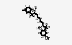 Cc1ccc2c(c1)C(C)(C)\C(=C/C=C/C=C/C1=[N+](C)c3ccc(Br)cc3C1(C)C)N2C